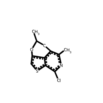 Cc1nc(Cl)c2scc3c2c1CC(C)O3